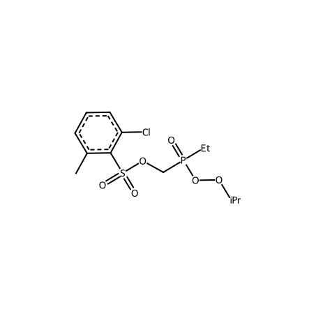 CCP(=O)(COS(=O)(=O)c1c(C)cccc1Cl)OOC(C)C